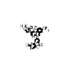 CCC1CC(N(Cc2cc(C(F)(F)F)cc(C(F)(F)F)c2)c2ncc(N3CCN(C)C3=O)cn2)CN1c1nc(Cl)ncc1Cl